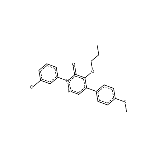 CCCOc1c(-c2ccc(SC)cc2)cnn(-c2cccc(Cl)c2)c1=O